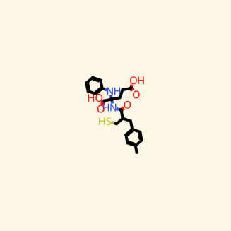 Cc1ccc(CC(CS)C(=O)NC(CCC(=O)O)(Nc2ccccc2)C(=O)O)cc1